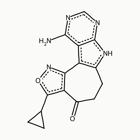 Nc1ncnc2[nH]c3c(c12)-c1noc(C2CC2)c1C(=O)CC3